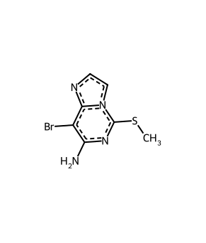 CSc1nc(N)c(Br)c2nccn12